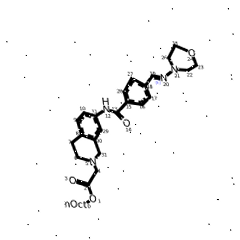 CCCCCCCCOC(=O)CN1CCc2ccc(NC(=O)c3ccc(/C=N/N4CCOCC4)cc3)cc2C1